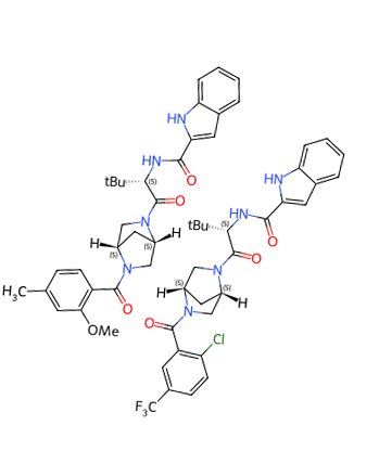 CC(C)(C)[C@H](NC(=O)c1cc2ccccc2[nH]1)C(=O)N1C[C@@H]2C[C@H]1CN2C(=O)c1cc(C(F)(F)F)ccc1Cl.COc1cc(C)ccc1C(=O)N1C[C@@H]2C[C@H]1CN2C(=O)[C@@H](NC(=O)c1cc2ccccc2[nH]1)C(C)(C)C